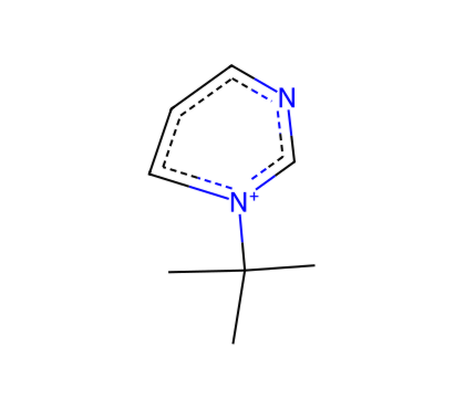 CC(C)(C)[n+]1cccnc1